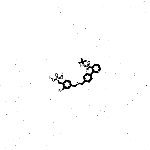 CC(C)(C)NS(=O)(=O)c1ccccc1-c1ccc(CSCc2ccc(CP(=O)(OF)OF)c(Br)c2)cc1